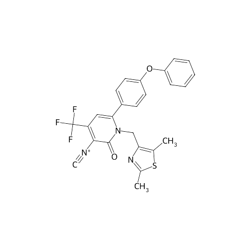 [C-]#[N+]c1c(C(F)(F)F)cc(-c2ccc(Oc3ccccc3)cc2)n(Cc2nc(C)sc2C)c1=O